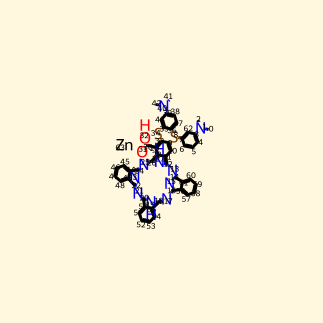 CN(C)c1cccc(Sc2cc3c4nc5nc(nc6[nH]c(nc7nc(nc([nH]4)c3c(C(=O)O)c2Sc2cccc(N(C)C)c2)-c2ccccc2-7)c2ccccc62)-c2ccccc2-5)c1.[Zn]